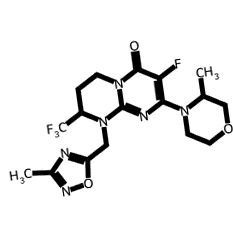 Cc1noc(CN2c3nc(N4CCOCC4C)c(F)c(=O)n3CCC2C(F)(F)F)n1